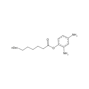 CCCCCCCCCCCCCCCC(=O)Oc1ccc(N)cc1N